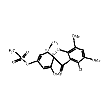 COC1=CC(OS(=O)(=O)C(F)(F)F)=C[C@@H](C)[C@]12Oc1c(OC)cc(OC)c(Cl)c1C2=O